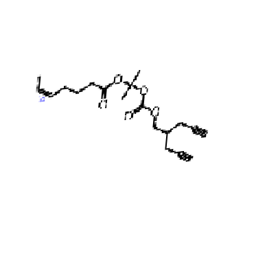 C#CCC(CC#C)COC(=O)OC(C)(C)OC(=O)CCC/C=C\C